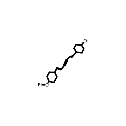 CCOC1CCC(C=CC#CC=CC2CCC(CC)CC2)CC1